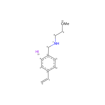 C=Cc1ccc(CNCCOC)cc1.I